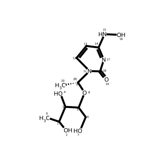 CC(O)C(O)C(CO)O[C@H](C)n1ccc(NO)nc1=O